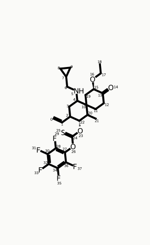 C=CC1CC(NCC2CC2)C2(CCC(=O)[C@H](OCC)C2)C(C)[C@@H]1OC(=S)Oc1c(F)c(F)c(F)c(F)c1F